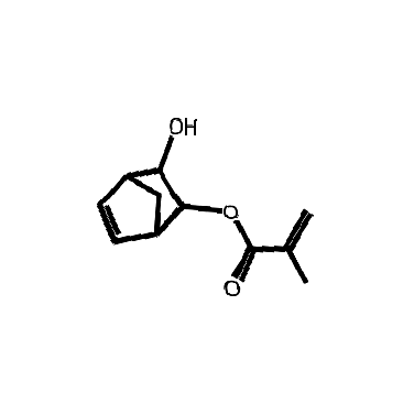 C=C(C)C(=O)OC1C2C=CC(C2)C1O